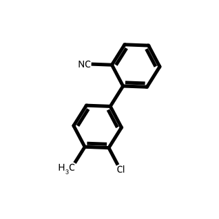 Cc1ccc(-c2ccccc2C#N)cc1Cl